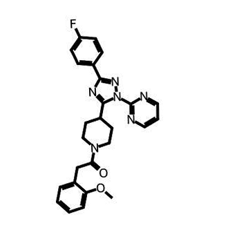 COc1ccccc1CC(=O)N1CCC(c2nc(-c3ccc(F)cc3)nn2-c2ncccn2)CC1